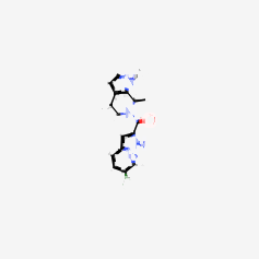 CC(=O)n1ccc2c1C(C)N(C(=O)c1cc3ccc(Cl)cn3n1)CC2